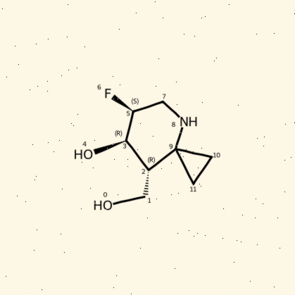 OC[C@@H]1[C@@H](O)[C@@H](F)CNC12CC2